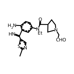 CCN(C(=O)C1CCN(CC=O)C1)c1ccc(N)c(C(=N)c2cnc(C)s2)c1